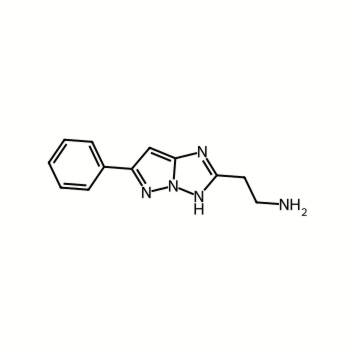 NCCc1nc2cc(-c3ccccc3)nn2[nH]1